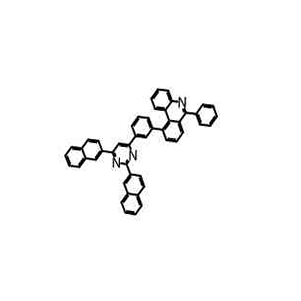 c1ccc(-c2nc3ccccc3c3c(-c4cccc(-c5cc(-c6ccc7ccccc7c6)nc(-c6ccc7ccccc7c6)n5)c4)cccc23)cc1